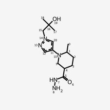 CC1CCC(C(=O)NN)CN1c1cnn(CC(C)(C)O)c1